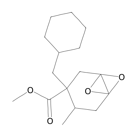 COC(=O)C1(CC2CCCCC2)CC23OC2(CC1C)O3